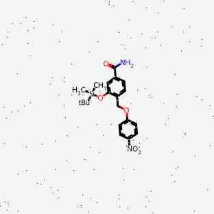 CC(C)(C)[Si](C)(C)Oc1cc(C(N)=O)ccc1COc1ccc([N+](=O)[O-])cc1